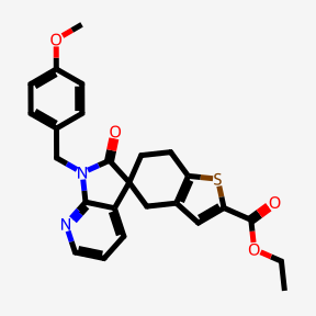 CCOC(=O)c1cc2c(s1)CCC1(C2)C(=O)N(Cc2ccc(OC)cc2)c2ncccc21